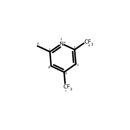 CC1=[N+]C(C(F)(F)F)=[C]C(C(F)(F)F)=[C]1